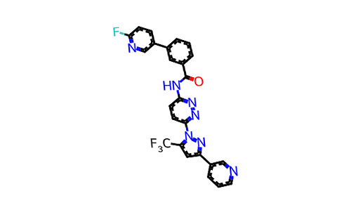 O=C(Nc1ccc(-n2nc(-c3cccnc3)cc2C(F)(F)F)nn1)c1cccc(-c2ccc(F)nc2)c1